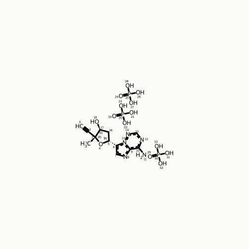 C#C[C@@]1(C)O[C@@H](c2cnc3c(N)ncnn23)C[C@@H]1O.O=P(O)(O)O.O=P(O)(O)O.O=P(O)(O)O